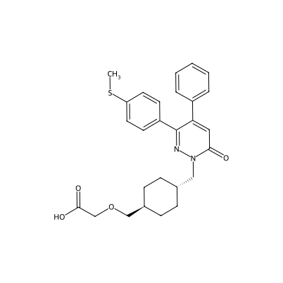 CSc1ccc(-c2nn(C[C@H]3CC[C@H](COCC(=O)O)CC3)c(=O)cc2-c2ccccc2)cc1